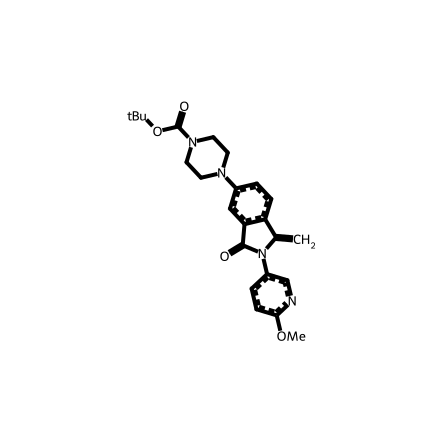 C=C1c2ccc(N3CCN(C(=O)OC(C)(C)C)CC3)cc2C(=O)N1c1ccc(OC)nc1